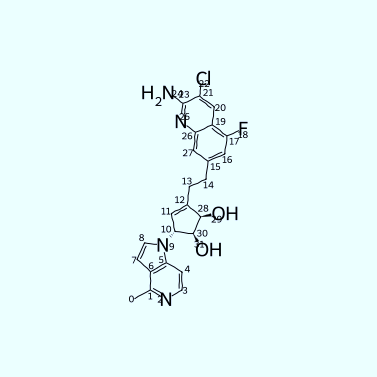 Cc1nccc2c1ccn2[C@@H]1C=C(CCc2cc(F)c3cc(Cl)c(N)nc3c2)[C@@H](O)[C@H]1O